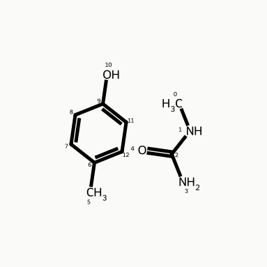 CNC(N)=O.Cc1ccc(O)cc1